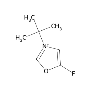 CC(C)(C)[n+]1coc(F)c1